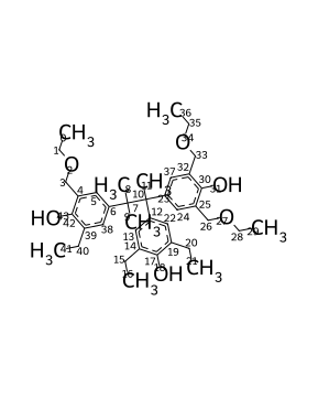 CCOCc1cc(C(C)(C)C(C)(c2cc(CC)c(O)c(CC)c2)c2cc(COCC)c(O)c(COCC)c2)cc(CC)c1O